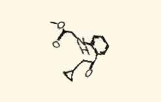 COC(=O)CNc1ccccc1C(=O)CC1CC1